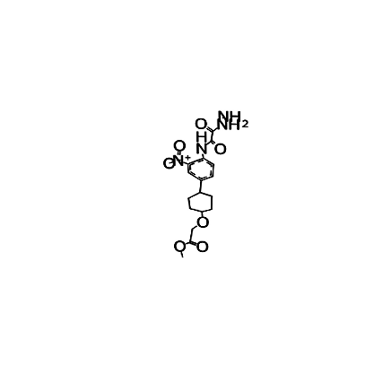 COC(=O)COC1CCC(c2ccc(NC(=O)C(=O)NN)c([N+](=O)[O-])c2)CC1